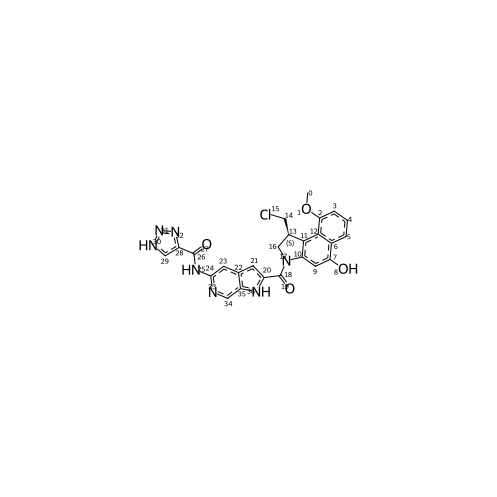 COc1cccc2c(O)cc3c(c12)[C@H](CCl)CN3C(=O)c1cc2cc(NC(=O)c3c[nH]nn3)ncc2[nH]1